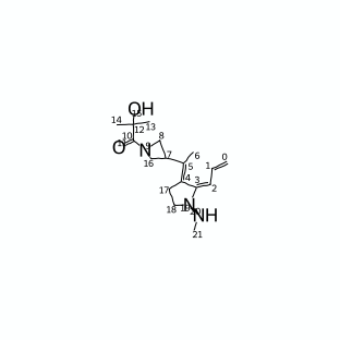 C=C/C=C1\C(=C(/C)C2CN(C(=O)C(C)(C)O)C2)CCN1NC